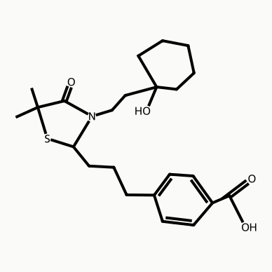 CC1(C)SC(CCCc2ccc(C(=O)O)cc2)N(CCC2(O)CCCCC2)C1=O